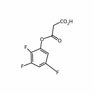 O=C(O)CC(=O)Oc1cc(F)cc(F)c1F